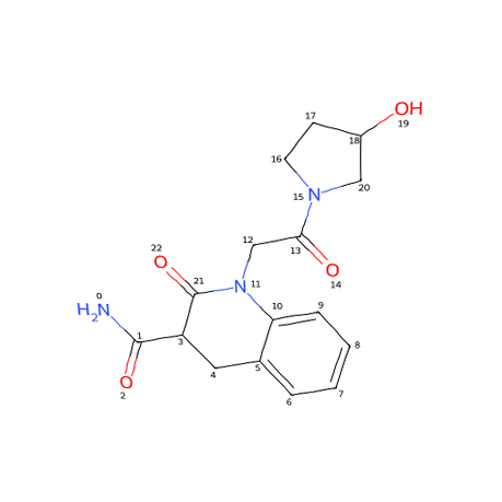 NC(=O)C1Cc2ccccc2N(CC(=O)N2CCC(O)C2)C1=O